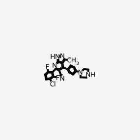 Cc1n[nH]c2nc(-c3c(F)ccc(Cl)c3F)c(C#N)c(-c3ccc(N4CCNCC4)cc3)c12